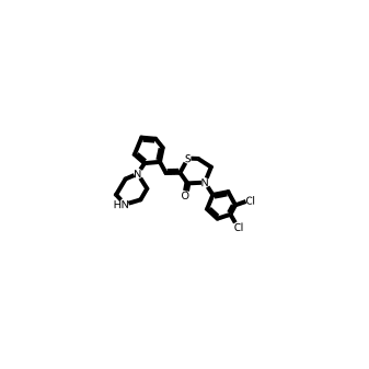 O=C1C(=Cc2ccccc2N2CCNCC2)SCCN1c1ccc(Cl)c(Cl)c1